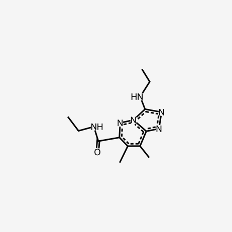 CCNC(=O)c1nn2c(NCC)nnc2c(C)c1C